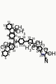 CC1(C)c2ccccc2-c2ccc(N(c3ccc(-c4ccc([Si](C)(C)c5ccc(/C=C(/C#N)C(=O)O)s5)s4)cc3)c3ccc4c(c3)C(C)(C)c3ccccc3-4)cc21